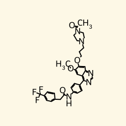 COc1cc2c(-c3ccc(NC(=O)Cc4ccc(C(F)(F)F)cc4)cc3)ncnc2cc1OCCCN1CCN(C(C)=O)CC1